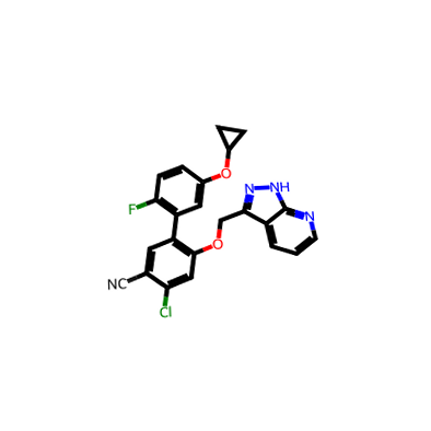 N#Cc1cc(-c2cc(OC3CC3)ccc2F)c(OCc2n[nH]c3ncccc23)cc1Cl